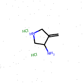 C=C1CNCC1N.Cl.Cl